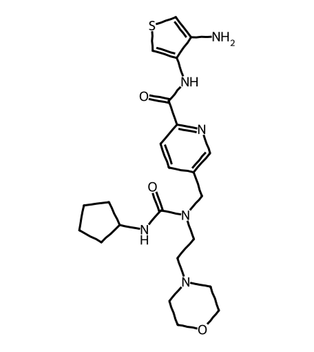 Nc1cscc1NC(=O)c1ccc(CN(CCN2CCOCC2)C(=O)NC2CCCC2)cn1